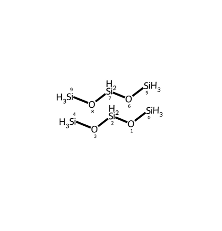 [SiH3]O[SiH2]O[SiH3].[SiH3]O[SiH2]O[SiH3]